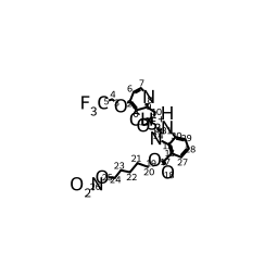 Cc1c(OCC(F)(F)F)ccnc1C[S+]([O-])c1nc2c(C(=O)OCCCCCO[N+](=O)[O-])cccc2[nH]1